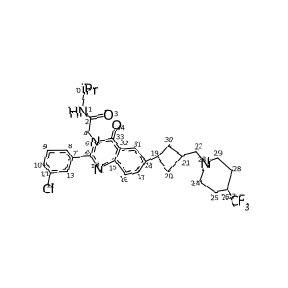 CC(C)NC(=O)Cn1c(-c2cccc(Cl)c2)nc2ccc(C3CC(CN4CCC(C(F)(F)F)CC4)C3)cc2c1=O